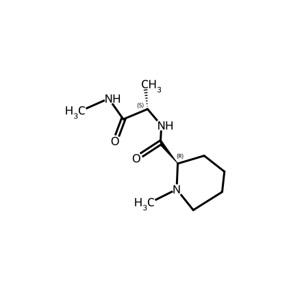 CNC(=O)[C@H](C)NC(=O)[C@H]1CCCCN1C